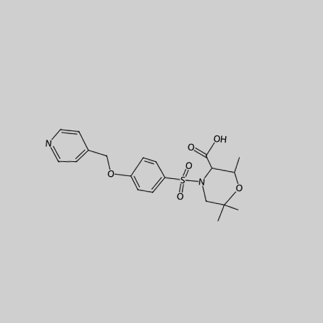 CC1OC(C)(C)CN(S(=O)(=O)c2ccc(OCc3ccncc3)cc2)C1C(=O)O